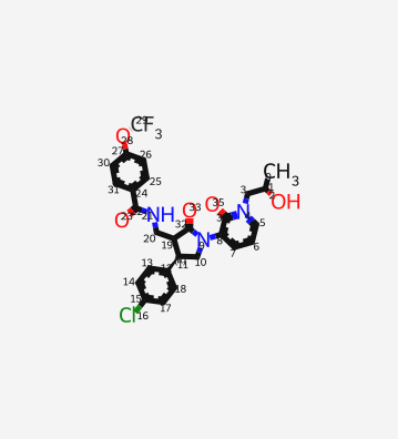 CC(O)Cn1cccc(N2C[C@@H](c3ccc(Cl)cc3)C(CNC(=O)c3ccc(OC(F)(F)F)cc3)C2=O)c1=O